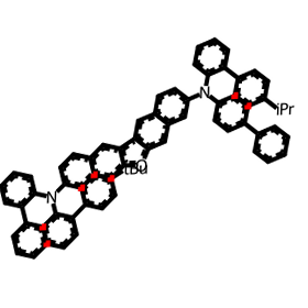 CC(C)c1ccc(-c2ccccc2N(c2ccc(-c3ccccc3)cc2)c2ccc3cc4c(cc3c2)oc2cc3cc(N(c5ccccc5-c5ccccc5)c5ccccc5-c5ccc(C(C)(C)C)cc5)ccc3cc24)cc1